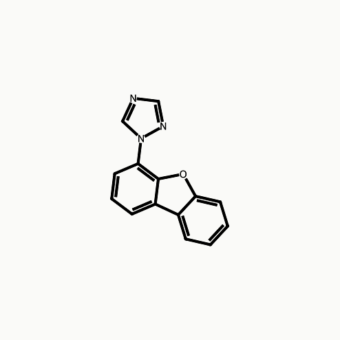 c1ccc2c(c1)oc1c(-n3cncn3)cccc12